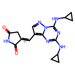 O=C1C/C(=C\c2cnn3c(NC4CC4)nc(NC4CC4)nc23)C(=O)N1